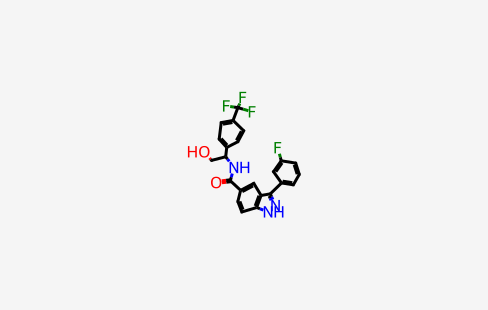 O=C(NC(CO)c1ccc(C(F)(F)F)cc1)c1ccc2[nH]nc(-c3cccc(F)c3)c2c1